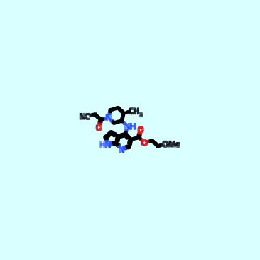 COCCOC(=O)c1cnc2[nH]ccc2c1N[C@H]1CN(C(=O)CC#N)CC[C@H]1C